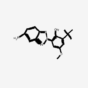 COc1cc(-n2nc3ccc(N)cc3n2)c(O)c(C(C)(C)C)c1